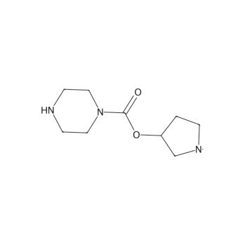 O=C(OC1CC[N]C1)N1CCNCC1